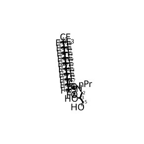 CCCN(CC(O)CO)S(=O)(=O)C(F)(F)C(F)(F)C(F)(F)C(F)(F)C(F)(F)C(F)(F)C(F)(F)C(F)(F)C(F)(F)C(F)(F)C(F)(F)F